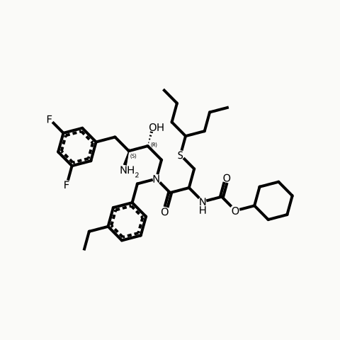 CCCC(CCC)SCC(NC(=O)OC1CCCCC1)C(=O)N(Cc1cccc(CC)c1)C[C@@H](O)[C@@H](N)Cc1cc(F)cc(F)c1